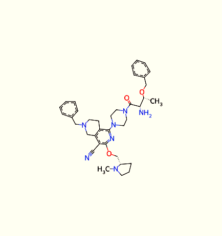 C[C@@H](OCc1ccccc1)[C@H](N)C(=O)N1CCN(c2nc(OC[C@@H]3CCCN3C)c(C#N)c3c2CCN(Cc2ccccc2)C3)CC1